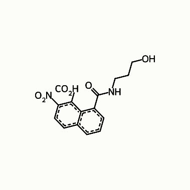 O=C(NCCCO)c1cccc2ccc([N+](=O)[O-])c(C(=O)O)c12